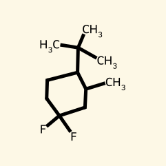 CC1CC(F)(F)CCC1C(C)(C)C